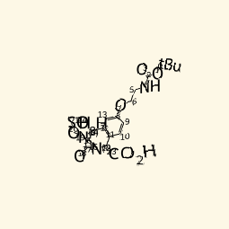 CC(C)(C)OC(=O)NCCOc1ccc2c(c1)[C@H]1CN(C(=O)N1OS(=O)(=O)O)[C@H]2C(=O)O